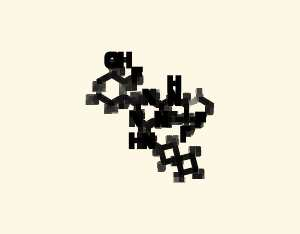 CC[C@@H](Nc1nc(NC2CC3(CCC3)C2)nc(C2=C(F)C(O)CCC2)n1)C(F)(F)F